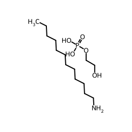 CCCCCCCCCCCCN.O=P(O)(O)OCCO